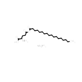 CCCCCCCCCCCCCCCCCC(=O)OC(=O)CC[C@H](N)C(=O)O.[MgH2]